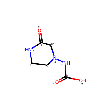 O=C(O)NN1CCNC(=O)C1